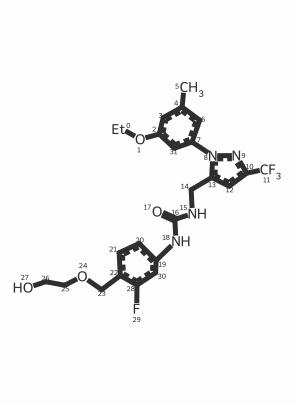 CCOc1cc(C)cc(-n2nc(C(F)(F)F)cc2CNC(=O)Nc2ccc(COCCO)c(F)c2)c1